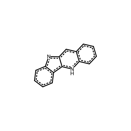 c1ccc2[nH]c3c4ccccc4nc-3cc2c1